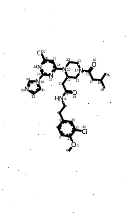 COc1ccc(CCNC(=O)CC2CN(C(=O)CC(C)C)CCN2c2cc(Cl)nc(-n3ccnc3)n2)cc1Cl